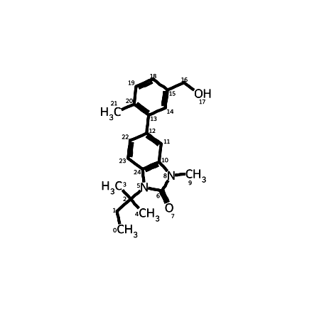 CCC(C)(C)n1c(=O)n(C)c2cc(-c3cc(CO)ccc3C)ccc21